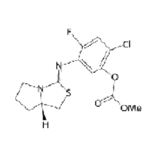 COC(=O)Oc1cc(N=C2SC[C@@H]3CCCN23)c(F)cc1Cl